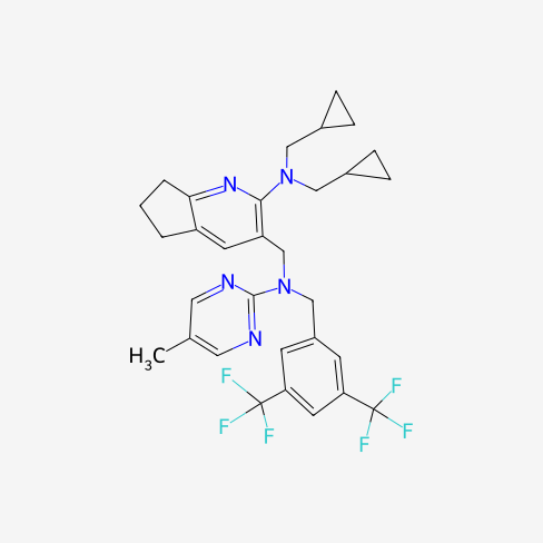 Cc1cnc(N(Cc2cc(C(F)(F)F)cc(C(F)(F)F)c2)Cc2cc3c(nc2N(CC2CC2)CC2CC2)CCC3)nc1